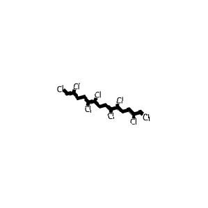 ClCC(Cl)CCC(Cl)C(Cl)CCC(Cl)C(Cl)CCC(Cl)CCl